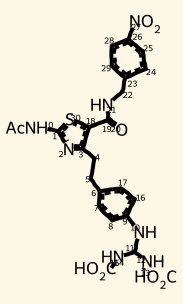 CC(=O)Nc1nc(CCc2ccc(NC(NC(=O)O)NC(=O)O)cc2)c(C(=O)NCc2ccc([N+](=O)[O-])cc2)s1